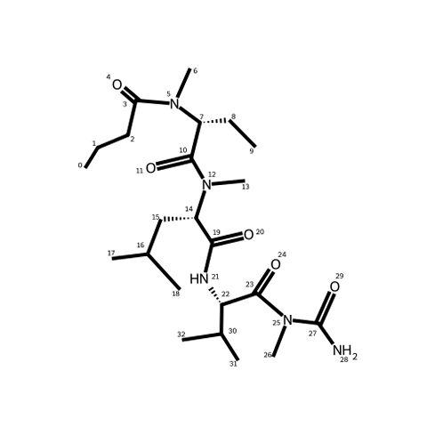 CCCC(=O)N(C)[C@H](CC)C(=O)N(C)[C@@H](CC(C)C)C(=O)N[C@H](C(=O)N(C)C(N)=O)C(C)C